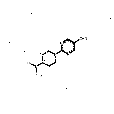 CCN(N)C1CCN(c2ncc(C=O)cn2)CC1